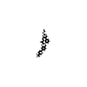 C=C(CCF)C(=O)N(CC12CCC(c3ccc(C(F)(F)F)cn3)(CC1)CC2)c1cccc(-c2cnc(OCC)nc2)c1